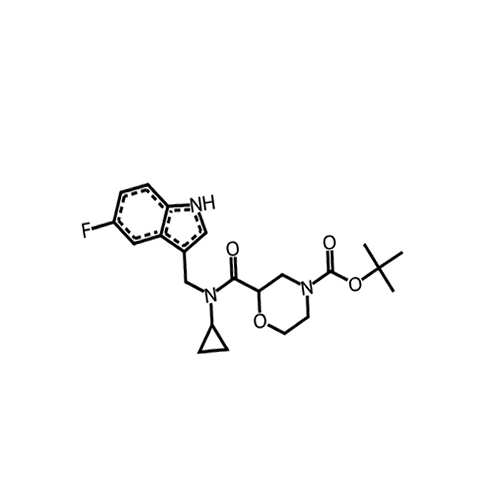 CC(C)(C)OC(=O)N1CCOC(C(=O)N(Cc2c[nH]c3ccc(F)cc23)C2CC2)C1